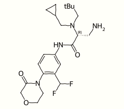 CC(C)(C)CN(CC1CC1)[C@H](CN)C(=O)Nc1ccc(N2CCOCC2=O)c(C(F)F)c1